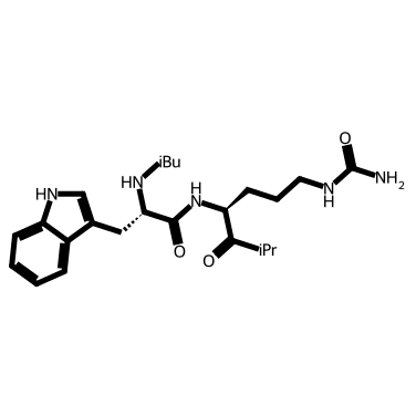 CCC(C)N[C@@H](Cc1c[nH]c2ccccc12)C(=O)N[C@@H](CCCNC(N)=O)C(=O)C(C)C